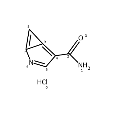 Cl.NC(=O)c1cnc2cc1-2